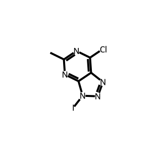 Cc1nc(Cl)c2nnn(I)c2n1